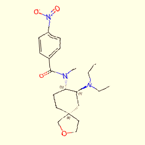 CCN(CC)[C@H]1C[C@@]2(CCOC2)CC[C@@H]1N(C)C(=O)c1ccc([N+](=O)[O-])cc1